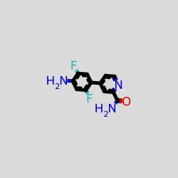 NC(=O)c1cc(-c2cc(F)c(N)cc2F)ccn1